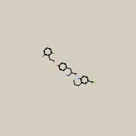 Cl.NCC(Cc1ccc(OCCc2c(Cl)cccc2Cl)cc1)C(=O)N1CCCc2cc(C(F)(F)F)ccc21